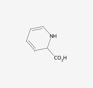 O=C(O)C1[C]=CC=CN1